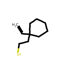 C=CC1(CCS)CCCCC1